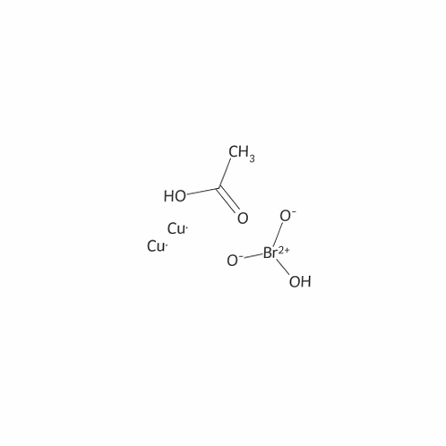 CC(=O)O.[Cu].[Cu].[O-][Br+2]([O-])O